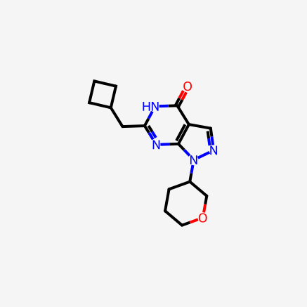 O=c1[nH]c(CC2CCC2)nc2c1cnn2C1CCCOC1